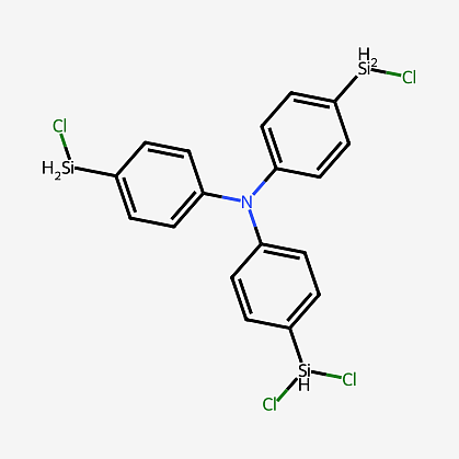 Cl[SiH2]c1ccc(N(c2ccc([SiH2]Cl)cc2)c2ccc([SiH](Cl)Cl)cc2)cc1